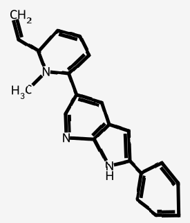 C=CC1C=CC=C(c2cnc3[nH]c(-c4ccccc4)cc3c2)N1C